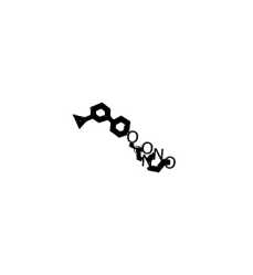 O=c1ccn2c(n1)O[C@H](COc1ccc(-c3cccc(C4CC4)c3)cc1)C2